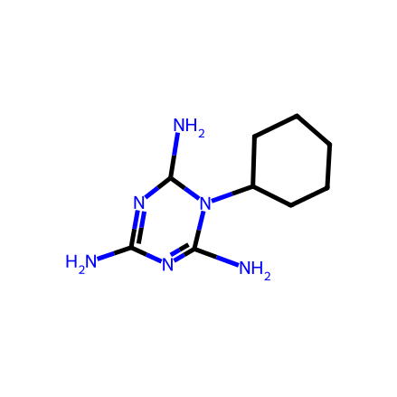 NC1=NC(N)N(C2CCCCC2)C(N)=N1